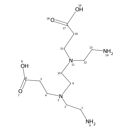 NCCN(CCC(=O)O)CCN(CCN)CCC(=O)O